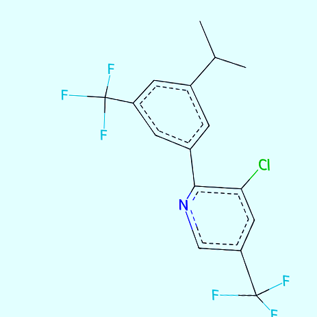 CC(C)c1cc(-c2ncc(C(F)(F)F)cc2Cl)cc(C(F)(F)F)c1